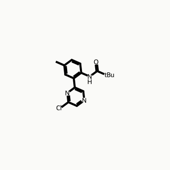 Cc1ccc(NC(=O)C(C)(C)C)c(-c2cncc(Cl)n2)c1